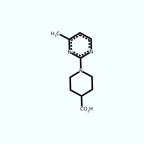 Cc1ccnc(N2CCC(C(=O)O)CC2)n1